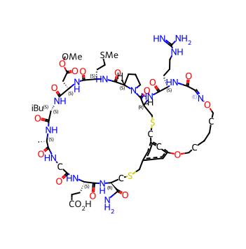 CC[C@H](C)[C@@H]1NC(=O)[C@H](CC(=O)OOC)NC(=O)[C@H](CCSC)NC(=O)[C@@H]2CCCN2C(=O)[C@@H]2CSCc3cc(cc(c3)OCCCCCCO/N=C/C(=O)N[C@@H](CCCNC(=N)N)C(=O)N2)CSC[C@@H](C(N)=O)NC(=O)[C@H](CCC(=O)O)NC(=O)CNC(=O)[C@H](C)NC1=O